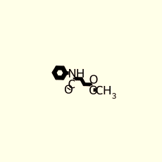 COC(=O)CCC(=C=O)Nc1ccccc1